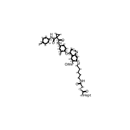 CCCCCCCC(=O)SCC(=O)NCCCCCOc1cc2nccc(Oc3ccc(NC(=O)C4(C(=O)Nc5ccc(F)cc5)CC4)cc3F)c2cc1OC